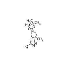 CC(C)(C)OC(=O)N1CCC(C)(c2nnc(C3CC3)s2)CC1